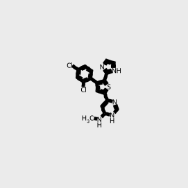 CNC1C=C(c2cc(-c3ccc(Cl)cc3Cl)c(-c3ncc[nH]3)s2)N=CN1